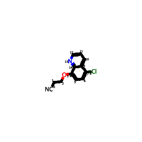 N#CCCOc1ccc(Cl)c2cccnc12